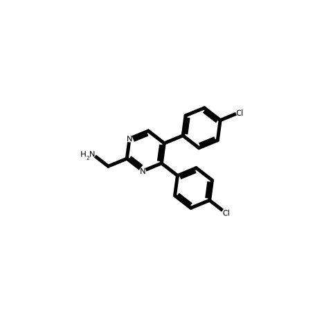 NCc1ncc(-c2ccc(Cl)cc2)c(-c2ccc(Cl)cc2)n1